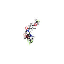 Cc1cc(C(=O)N2CC[C@]3(c4cc(C(F)(F)F)ccn4)OCOC3C2)ccc1OCC(C)(C)F